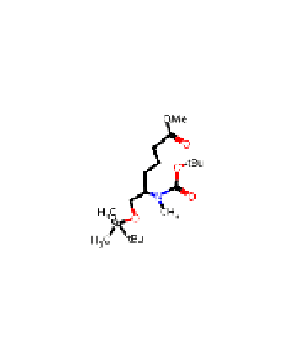 COC(=O)CCCC(CO[Si](C)(C)C(C)(C)C)N(C)C(=O)OC(C)(C)C